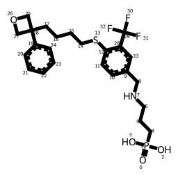 O=P(O)(O)CCCNCc1ccc(SCCCCC2(c3ccccc3)COC2)c(C(F)(F)F)c1